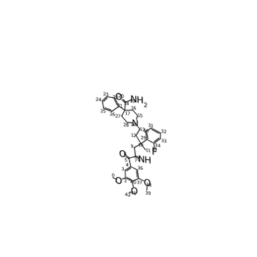 COc1cc(C(=O)C(=N)CC(C)(CCN2CCC(C(N)=O)(c3ccccc3)CC2)c2ccccc2F)cc(OC)c1OC